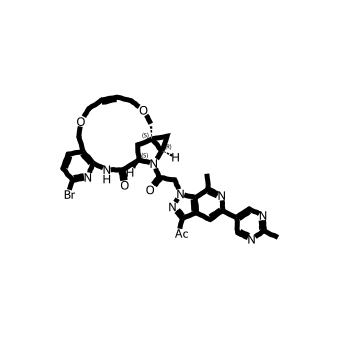 CC(=O)c1nn(CC(=O)N2[C@H]3C[C@@]4(COCC=CCOCc5ccc(Br)nc5NC3=O)C[C@@H]24)c2c(C)nc(-c3cnc(C)nc3)cc12